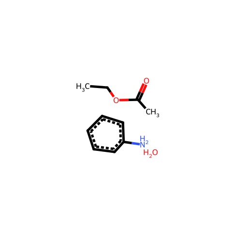 CCOC(C)=O.Nc1ccccc1.O